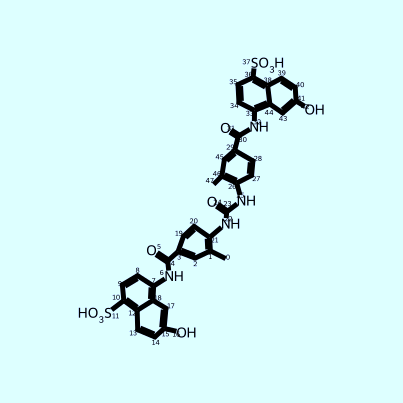 Cc1cc(C(=O)Nc2ccc(S(=O)(=O)O)c3ccc(O)cc23)ccc1NC(=O)Nc1ccc(C(=O)Nc2ccc(S(=O)(=O)O)c3ccc(O)cc23)cc1C